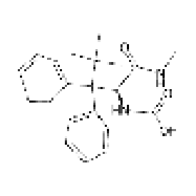 CNC(=O)[C@@H](NC(=O)O)C(c1ccccc1)(c1ccccc1)C(C)(C)C